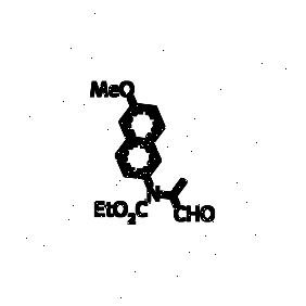 CCOC(=O)N(c1ccc2cc(OC)ccc2c1)C(C)C=O